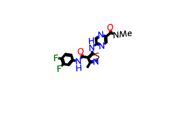 CNC(=O)c1cnc(Nc2snc(C)c2C(=O)Nc2ccc(F)c(F)c2)cn1